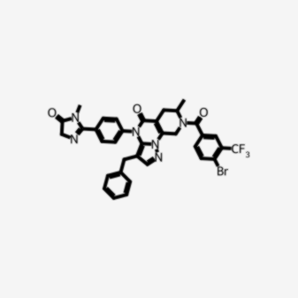 CC1Cc2c(n3ncc(Cc4ccccc4)c3n(-c3ccc(C4=NCC(=O)N4C)cc3)c2=O)CN1C(=O)c1ccc(Br)c(C(F)(F)F)c1